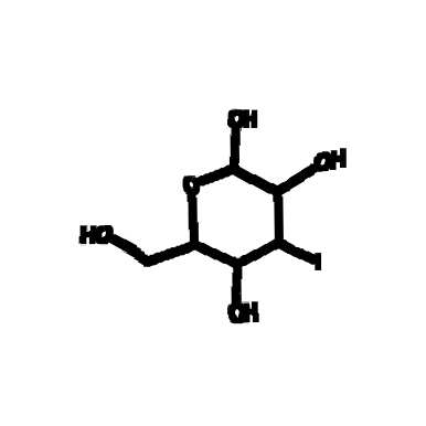 OCC1OC(O)C(O)C(I)C1O